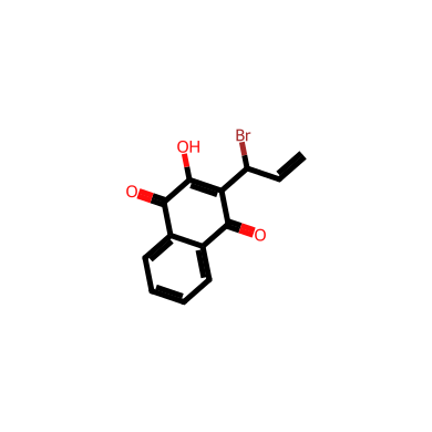 C=CC(Br)C1=C(O)C(=O)c2ccccc2C1=O